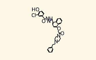 O=C(N/N=C/c1ccc(OCC(=O)N2CCN(CCc3ccccc3)CC2)c2ccccc12)c1ccc(O)c(Cl)c1